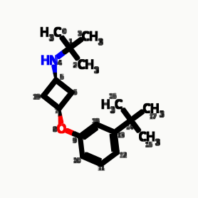 CC(C)(C)N[C@H]1C[C@@H](Oc2cccc(C(C)(C)C)c2)C1